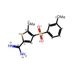 COc1cccc(S(=O)(=O)c2cc(C(=N)N)sc2SC)c1